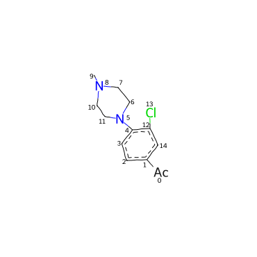 CC(=O)c1ccc(N2CCN(C)CC2)c(Cl)c1